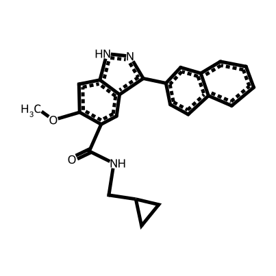 COc1cc2[nH]nc(-c3ccc4ccccc4c3)c2cc1C(=O)NCC1CC1